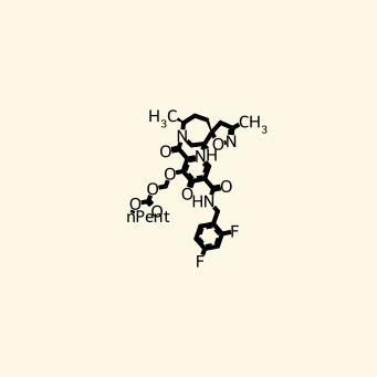 CCCCCOC(=O)OCOc1c2n(cc(C(=O)NCc3ccc(F)cc3F)c1=O)[C@@H]1CN(C2=O)[C@@H](C)CC[C@]12CC(C)=NO2